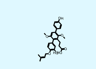 COc1cc(-c2ccc(O)cc2)c(OC)c(CCC(=O)O)c1-c1ccc(OCC=C(C)C)c(O)c1